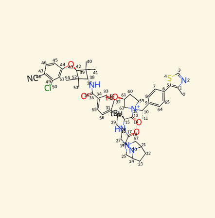 Cc1ncsc1-c1ccc([C@H](C)[N+]2(C(=O)[C@@H](NC(=O)CN3C4CCC3CN(CCCCc3ccc(C(=O)N[C@H]5C(C)(C)[C@H](Oc6ccc(C#N)c(Cl)c6)C5(C)C)cc3)C4)C(C)(C)C)CC[C@H](O)C2)cc1